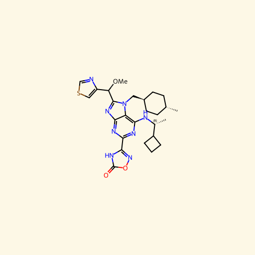 COC(c1cscn1)c1nc2nc(-c3noc(=O)[nH]3)nc(N[C@H](C)C3CCC3)c2n1C[C@H]1CC[C@H](C)CC1